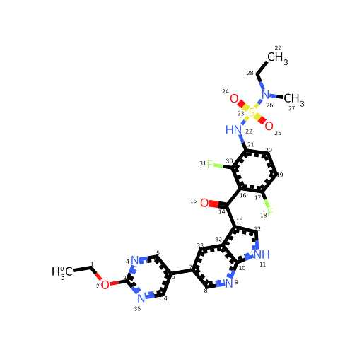 CCOc1ncc(-c2cnc3[nH]cc(C(=O)c4c(F)ccc(NS(=O)(=O)N(C)CC)c4F)c3c2)cn1